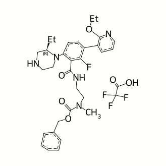 CCOc1ncccc1-c1ccc(N2CCNC[C@H]2CC)c(C(=O)NCCN(C)C(=O)OCc2ccccc2)c1F.O=C(O)C(F)(F)F